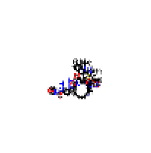 COc1ccc2c(O[C@@H]3C[C@H]4C(=O)N[C@]5(C(=O)NS(=O)(=O)C6(C)CC6)C[C@H]5/C=C\CCCCC[C@H](Nc5cccc(NC(=O)N6CCOCC6)c5)C(=O)N4C3)cc(-c3nc(C(C)C)cs3)nc2c1C